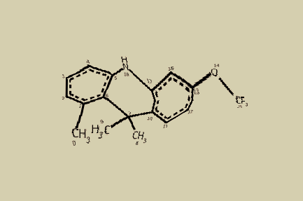 Cc1cccc2c1C(C)(C)c1ccc(OC(F)(F)F)cc1N2